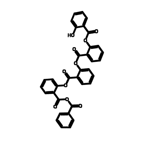 O=C(OC(=O)c1ccccc1OC(=O)c1ccccc1OC(=O)c1ccccc1OC(=O)c1ccccc1O)c1ccccc1